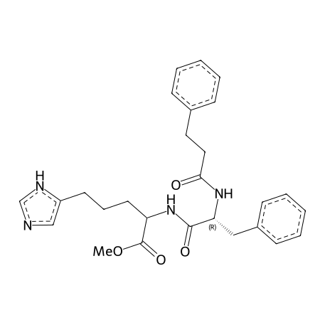 COC(=O)C(CCCc1cnc[nH]1)NC(=O)[C@@H](Cc1ccccc1)NC(=O)CCc1ccccc1